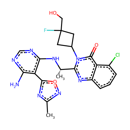 Cc1noc(-c2c(N)ncnc2N[C@@H](C)c2nc3cccc(Cl)c3c(=O)n2C2CC(F)(CO)C2)n1